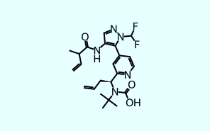 C=CC[C@@H](c1cc(-c2c(NC(=O)C(C)C=C)cnn2C(F)F)ccn1)N(C(=O)O)C(C)(C)C